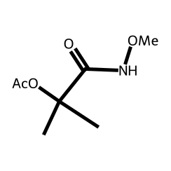 CONC(=O)C(C)(C)OC(C)=O